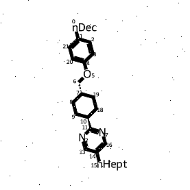 CCCCCCCCCCc1ccc(OC[C@H]2CC[C@H](c3ncc(CCCCCCC)cn3)CC2)cc1